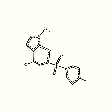 Cn1ccc2c(Cl)nc(S(=O)(=O)c3ccc(F)cc3)nc21